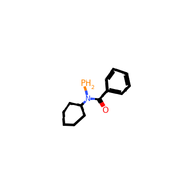 O=C(c1ccccc1)N(P)C1CCCCC1